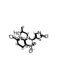 CC(O)CN(Cc1cnc(Cl)s1)c1nc(Cl)ccc1[N+](=O)[O-]